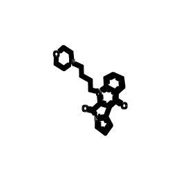 O=C1c2c(c(=O)c3ccccc3n2CCCCN2CCOCC2)-c2cccn21